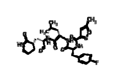 Cc1cc(C(=O)N[C@@H](Cc2ccc(F)cc2)C(=O)N[C@@H](CC(C)C)C(=O)N[C@H](C=O)C[C@@H]2CCCNC2=O)no1